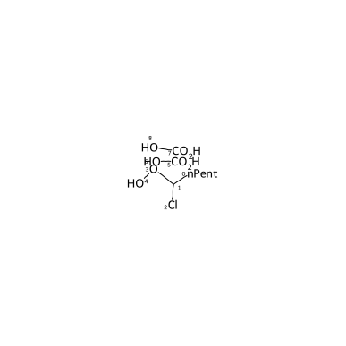 CCCCCC(Cl)OO.O=C(O)O.O=C(O)O